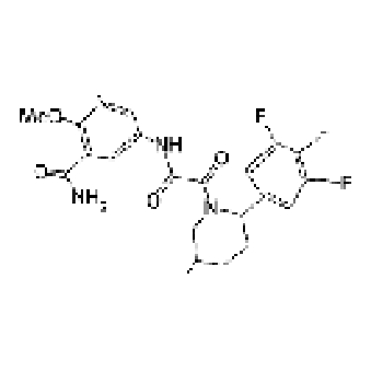 COc1ncc(NC(=O)C(=O)N2CC(C)CCC2c2cc(F)c(F)c(F)c2)cc1C(N)=O